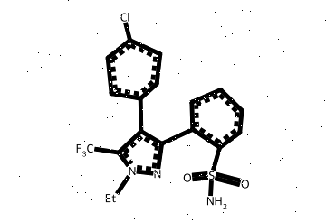 CCn1nc(-c2ccccc2S(N)(=O)=O)c(-c2ccc(Cl)cc2)c1C(F)(F)F